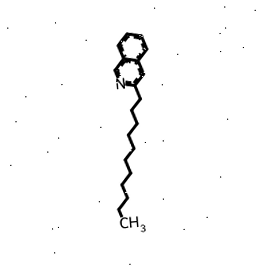 CCCCCCCCCCCc1cc2ccccc2cn1